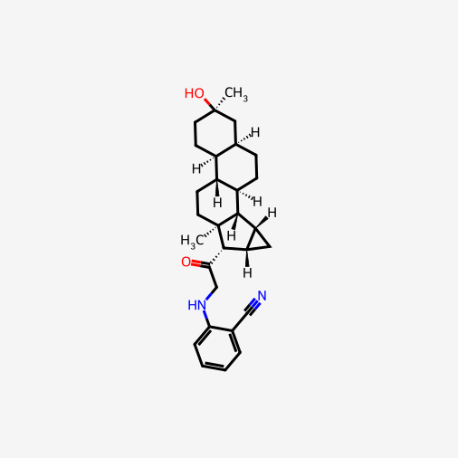 C[C@@]1(O)CC[C@H]2[C@H](CC[C@@H]3[C@@H]2CC[C@@]2(C)[C@H]3[C@@H]3C[C@@H]3[C@@H]2C(=O)CNc2ccccc2C#N)C1